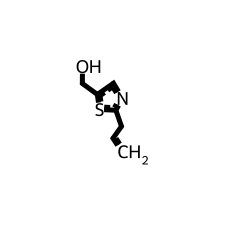 C=CCc1ncc(CO)s1